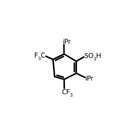 CC(C)c1c(C(F)(F)F)cc(C(F)(F)F)c(C(C)C)c1S(=O)(=O)O